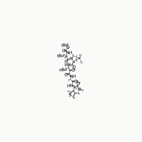 CCCCC(NC(=O)[C@@H]1C2C(CN1C(=O)[C@@H](NC(=O)OC(C)(C)C)C(C)(C)C)C2(C)C)C(=O)C(=O)NCC(=O)N[C@H](C(=O)N(C)C)c1ccsc1